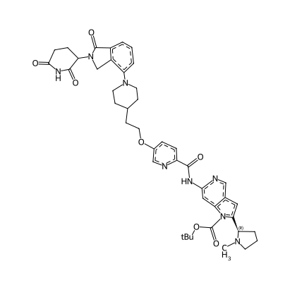 CN1CCC[C@@H]1c1cc2cnc(NC(=O)c3ccc(OCCC4CCN(c5cccc6c5CN(C5CCC(=O)NC5=O)C6=O)CC4)cn3)cc2n1C(=O)OC(C)(C)C